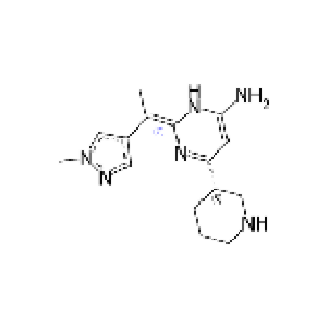 C/C(=C1/N=C([C@H]2CCCNC2)C=C(N)N1)c1cnn(C)c1